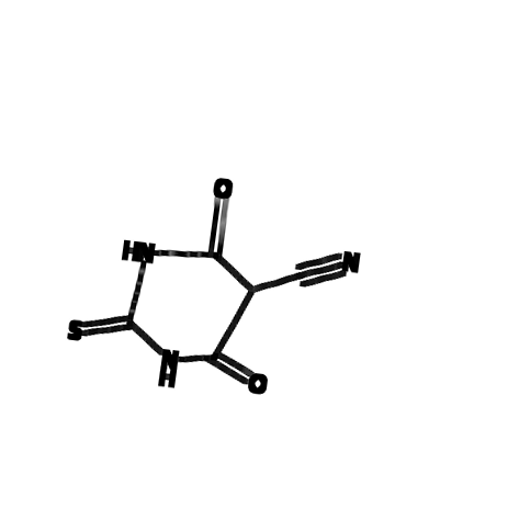 N#CC1C(=O)NC(=S)NC1=O